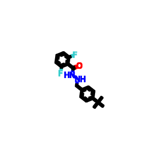 CC(C)(C)c1ccc(CNNC(=O)c2c(F)cccc2F)cc1